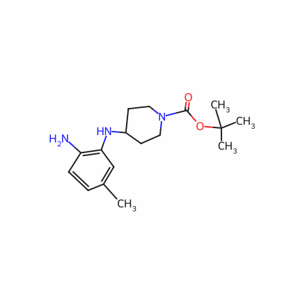 Cc1ccc(N)c(NC2CCN(C(=O)OC(C)(C)C)CC2)c1